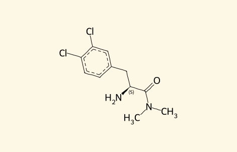 CN(C)C(=O)[C@@H](N)Cc1ccc(Cl)c(Cl)c1